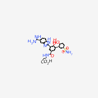 N=C(N)c1ccc2[nH]c(-c3cc(C(=O)NCCC(=O)O)cc(-c4cc(S(N)(=O)=O)ccc4O)c3O)nc2c1